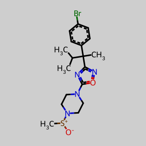 CC(C)C(C)(c1ccc(Br)cc1)c1noc(N2CCN([S+](C)[O-])CC2)n1